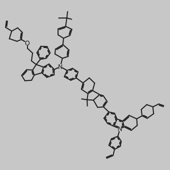 C=Cc1ccc(-n2c3c(c4cc(C5=CC=C6C7=C(C=C(c8ccc(N(c9ccc%10c(c9)C(CCCOC9=CCC(C=C)CC9)(c9ccccc9)C9=C%10CCC=C9)C9C=CC(C%10C=CC(C(C)(C)C)=CC%10)=CC9)cc8)CC7)C(C)(C)C6C5)ccc42)=CC(C2=CCC(C=C)CC2)CC=3)cc1